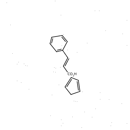 C1=CCC=C1.O=C(O)C=Cc1ccccc1